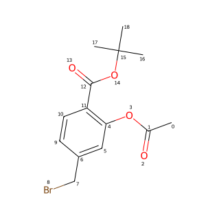 CC(=O)Oc1cc(CBr)ccc1C(=O)OC(C)(C)C